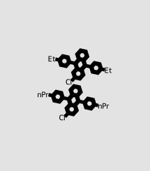 CCCc1ccc(-c2c3ccccc3c(-c3ccc(CCC)cc3)c3cc(Cl)ccc23)cc1.CCc1ccc(-c2c3ccccc3c(-c3ccc(CC)cc3)c3cc(Cl)ccc23)cc1